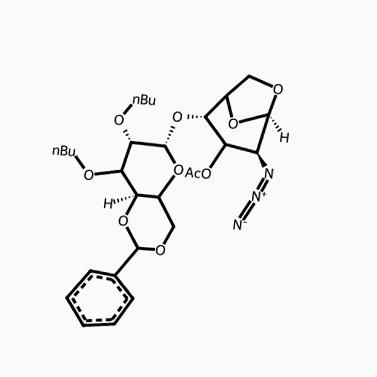 CCCCOC1[C@@H]2OC(c3ccccc3)OCC2O[C@@H](O[C@@H]2C3CO[C@H](O3)[C@@H](N=[N+]=[N-])C2OC(C)=O)[C@H]1OCCCC